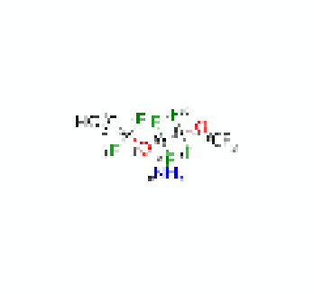 N.O=C(O)C(F)(F)OC(F)(F)C(F)(F)OC(F)(F)F